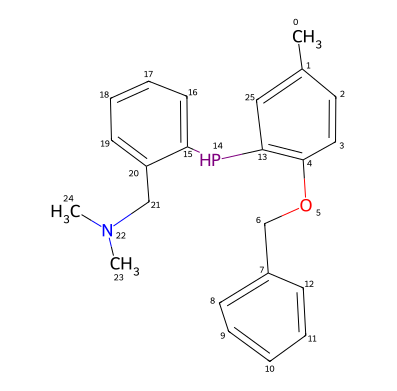 Cc1ccc(OCc2ccccc2)c(Pc2ccccc2CN(C)C)c1